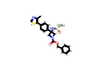 Cc1ncsc1-c1ccc(C2(N[S+]([O-])C(C)(C)C)CN(C(=O)OCc3ccccc3)C2)cc1